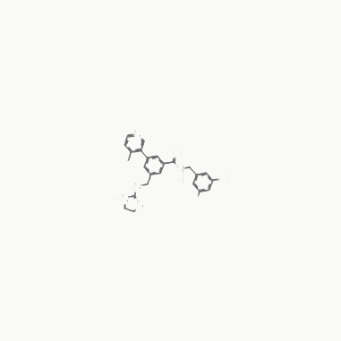 Cc1ccncc1-c1cc(CNC2=NCCN2)cc(C(=O)NCc2cc(F)cc(Cl)c2)c1